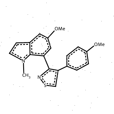 COc1ccc(-c2csnc2-c2cc(OC)cc3ccn(C)c23)cc1